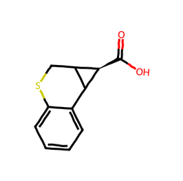 O=C(O)[C@@H]1C2CSc3ccccc3C21